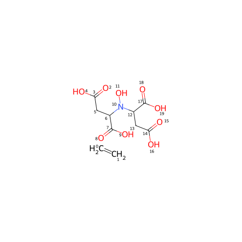 C=C.O=C(O)CC(C(=O)O)N(O)C(CC(=O)O)C(=O)O